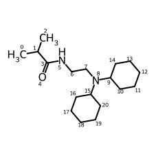 CC(C)C(=O)NCCN(C1CCCCC1)C1CCCCC1